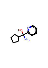 NC(O)(c1ccccn1)C1CCCC1